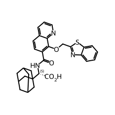 O=C(N[C@H](C(=O)O)C12CC3CC(CC(C3)C1)C2)c1ccc2cccnc2c1OCc1nc2ccccc2s1